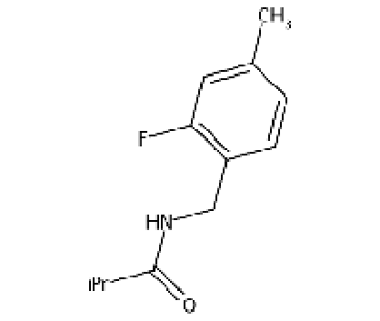 Cc1ccc(CNC(=O)C(C)C)c(F)c1